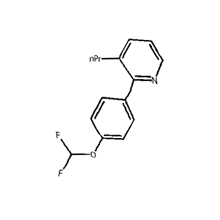 CCCc1cccnc1-c1ccc(OC(F)F)cc1